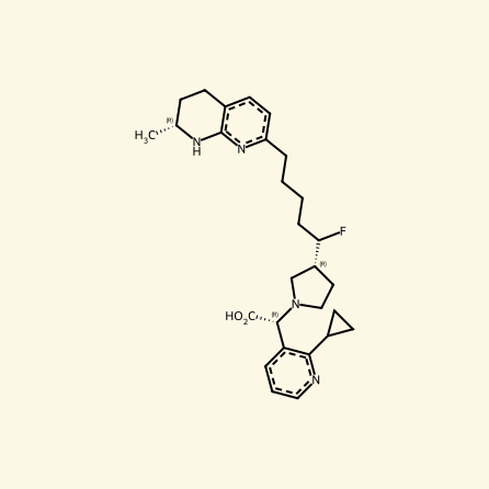 C[C@@H]1CCc2ccc(CCCCC(F)[C@@H]3CCN([C@@H](C(=O)O)c4cccnc4C4CC4)C3)nc2N1